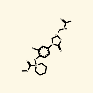 COC(=O)[N+]1(Oc2ccc(N3C[C@H](CNC(C)=O)OC3=O)cc2F)CCCCC1